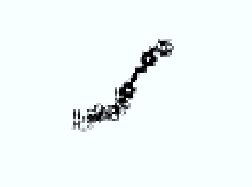 COC(=O)[C@H](CNC(=O)CN(C)C)NC(=O)c1ccc(C#CC=Cc2ccc(CN3CCOCC3)cc2)cc1